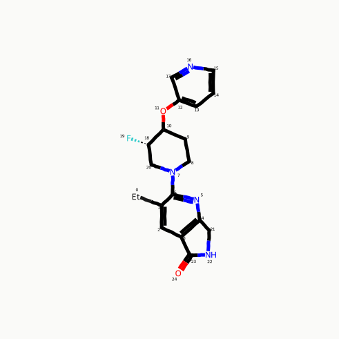 CCc1cc2c(nc1N1CCC(Oc3cccnc3)[C@@H](F)C1)CNC2=O